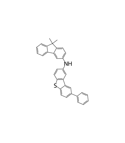 CC1(C)c2ccccc2-c2cc(Nc3ccc4sc5ccc(-c6ccccc6)cc5c4c3)ccc21